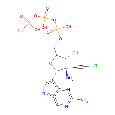 Nc1ncc2ncn([C@@H]3OC(COP(=O)(O)OP(=O)(O)OP(=O)(O)O)[C@H](O)[C@]3(N)C#CCl)c2n1